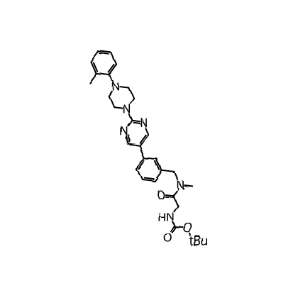 Cc1ccccc1N1CCN(c2ncc(-c3cccc(CN(C)C(=O)CNC(=O)OC(C)(C)C)c3)cn2)CC1